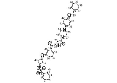 Cc1ccccc1S(=O)(=O)O[C@H]1C[C@@H](Oc2cccc(C(=O)NCC(=O)N3CCN(c4ccc(OCc5ccccc5)cc4)CC3)c2)C1